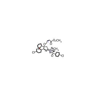 CCOC(=O)/C=C\COC1(c2ccccc2)CN(/C(=N/S(=O)(=O)c2ccc(Cl)cc2)NC)N=C1c1ccc(Cl)cc1